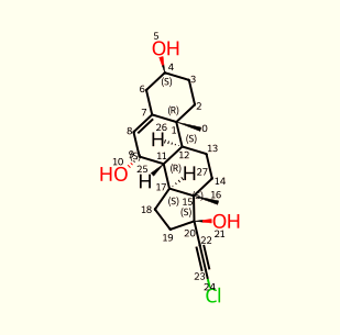 C[C@]12CC[C@H](O)CC1=C[C@@H](O)[C@@H]1[C@@H]2CC[C@@]2(C)[C@H]1CC[C@@]2(O)C#CCl